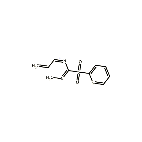 C=C/C=N\C(=N/C)S(=O)(=O)c1ccccn1